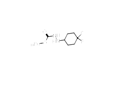 CCCCOC(=O)NNC1CCC(F)(F)CC1